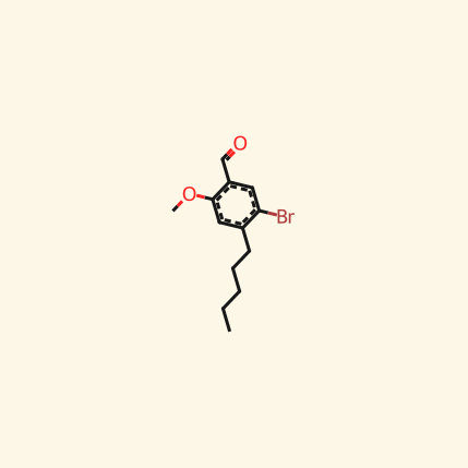 CCCCCc1cc(OC)c(C=O)cc1Br